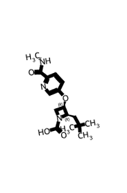 CNC(=O)c1ccc(O[C@@H]2CN(C(=O)O)[C@@H]2CC(C)(C)C)cn1